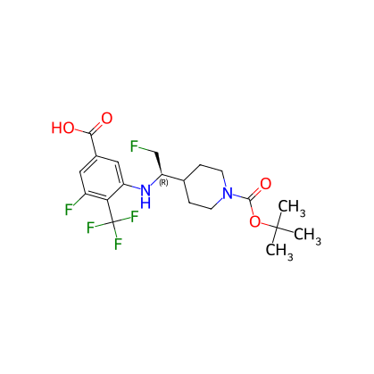 CC(C)(C)OC(=O)N1CCC([C@H](CF)Nc2cc(C(=O)O)cc(F)c2C(F)(F)F)CC1